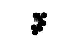 C1=CC2SC3=C(NC(c4cc5sc6c(-n7c8ccccc8c8ccccc87)cccc6c5c5ccccc45)N=C3c3ccccc3)C2C=C1